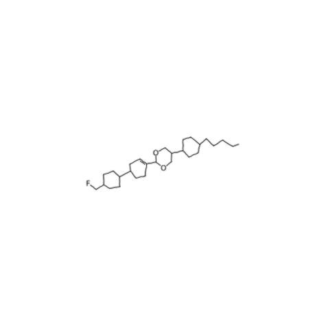 CCCCCC1CCC(C2COC(C3=CCC(C4CCC(CF)CC4)CC3)OC2)CC1